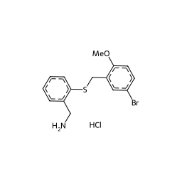 COc1ccc(Br)cc1CSc1ccccc1CN.Cl